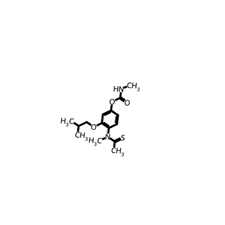 CNC(=O)Oc1ccc(N(C)C(C)=S)c(OCC(C)C)c1